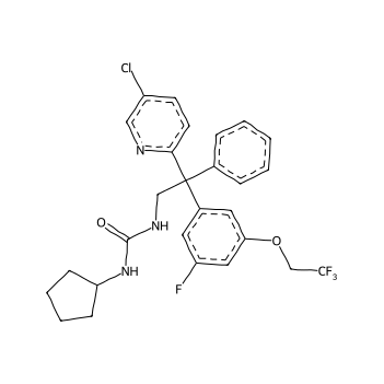 O=C(NCC(c1ccccc1)(c1cc(F)cc(OCC(F)(F)F)c1)c1ccc(Cl)cn1)NC1CCCC1